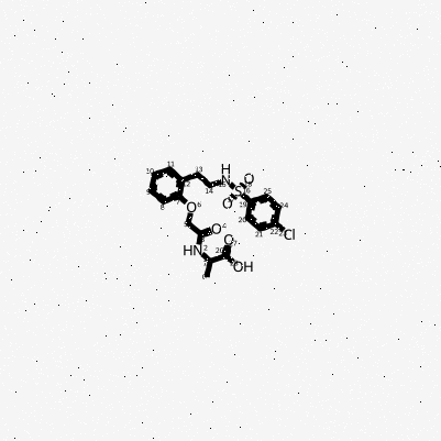 CC(NC(=O)COc1ccccc1CCNS(=O)(=O)c1ccc(Cl)cc1)C(=O)O